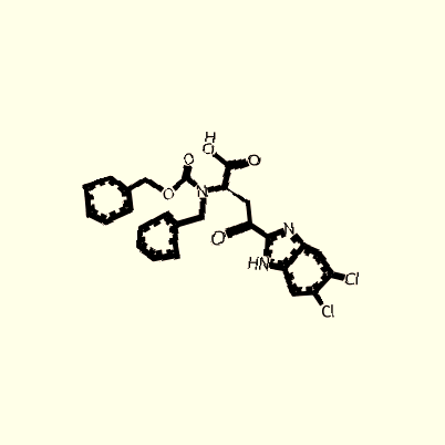 O=C(C[C@H](C(=O)O)N(Cc1ccccc1)C(=O)OCc1ccccc1)c1nc2cc(Cl)c(Cl)cc2[nH]1